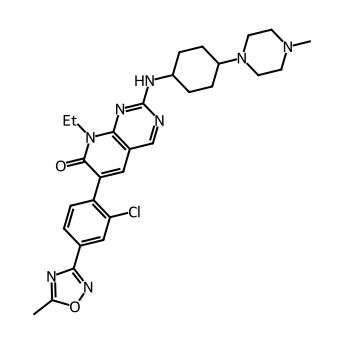 CCn1c(=O)c(-c2ccc(-c3noc(C)n3)cc2Cl)cc2cnc(NC3CCC(N4CCN(C)CC4)CC3)nc21